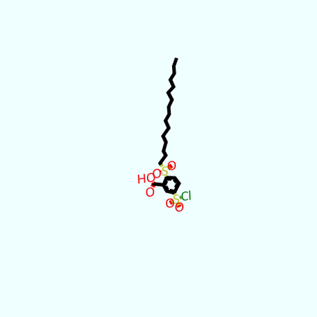 CCCCCCCCCCCCCCCCS(=O)(=O)c1ccc(S(=O)(=O)Cl)cc1C(=O)O